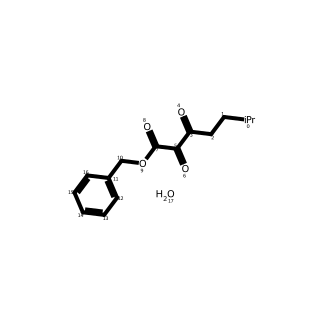 CC(C)CCC(=O)C(=O)C(=O)OCc1ccccc1.O